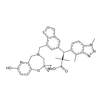 COC(=O)C(C)(C)[C@@H](c1cc(CN2Cc3nc(O)ccc3OC3(CC3)C2)c2sccc2c1)c1ccc2c(nnn2C)c1C